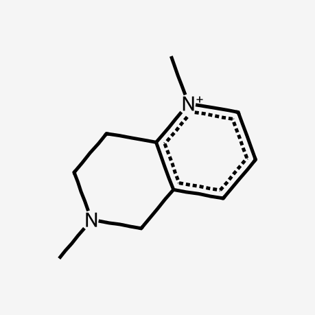 CN1CCc2c(ccc[n+]2C)C1